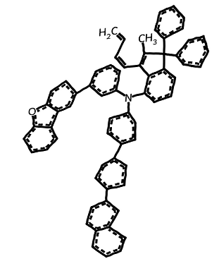 C=C/C=C\C1=C(C)C(c2ccccc2)(c2ccccc2)c2cccc(N(c3ccc(-c4ccc(-c5ccc6ccccc6c5)cc4)cc3)c3cccc(-c4ccc5oc6ccccc6c5c4)c3)c21